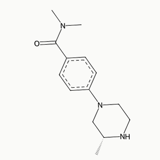 C[C@@H]1CN(c2ccc(C(=O)N(C)C)cc2)CCN1